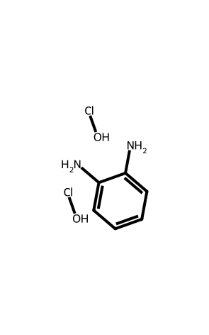 Nc1ccccc1N.OCl.OCl